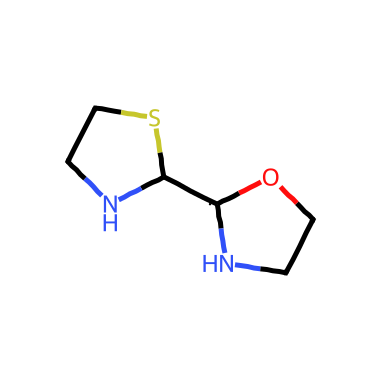 C1CO[C](C2NCCS2)N1